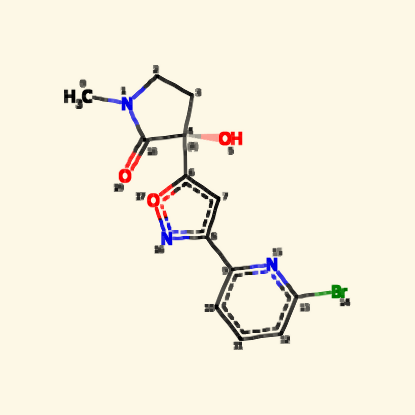 CN1CC[C@@](O)(c2cc(-c3cccc(Br)n3)no2)C1=O